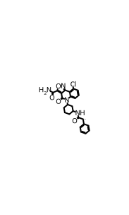 NC(=O)c1onc2c1c(=O)n(C1CCCC(NC(=O)[CH]c3ccccc3)C1)c1cccc(Cl)c21